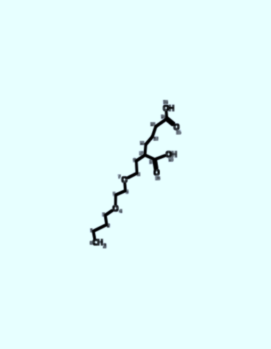 CCCCOCCOCCC(CCCC(=O)O)C(=O)O